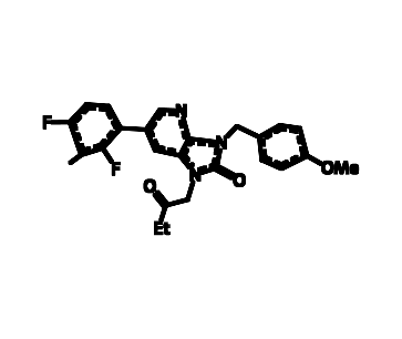 CCC(=O)Cn1c(=O)n(Cc2ccc(OC)cc2)c2ncc(-c3ccc(F)c(C)c3F)cc21